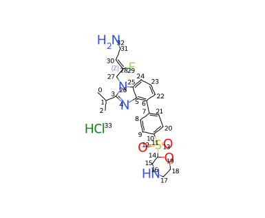 CC(C)c1nc2c(-c3ccc(S(=O)(=O)C4CNCCO4)cc3)cccc2n1C/C(F)=C/CN.Cl